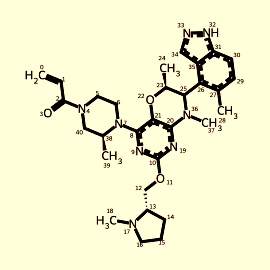 C=CC(=O)N1CCN(c2nc(OC[C@@H]3CCCN3C)nc3c2O[C@@H](C)C(c2c(C)ccc4[nH]ncc24)N3C)[C@@H](C)C1